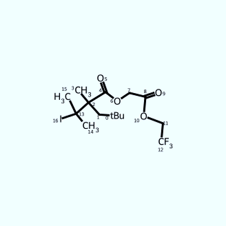 CC(C)(C)CC(C)(C(=O)OCC(=O)OCC(F)(F)F)C(C)(C)I